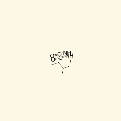 CCC(C)CC.N=C=O.N=C=O